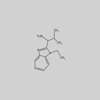 CCn1c(C(N)C(C)C)nc2ccccc21